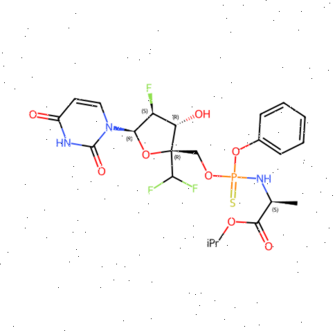 CC(C)OC(=O)[C@H](C)NP(=S)(OC[C@@]1(C(F)F)O[C@@H](n2ccc(=O)[nH]c2=O)[C@@H](F)[C@@H]1O)Oc1ccccc1